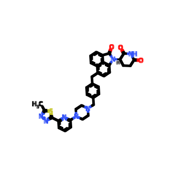 Cc1nnc(-c2cccc(N3CCN(Cc4ccc(Cc5ccc6c7c(cccc57)C(=O)N6[C@@H]5CCC(=O)NC5=O)cc4)CC3)n2)s1